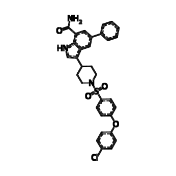 NC(=O)c1cc(-c2ccccc2)cc2c(C3CCN(S(=O)(=O)c4ccc(Oc5ccc(Cl)cc5)cc4)CC3)c[nH]c12